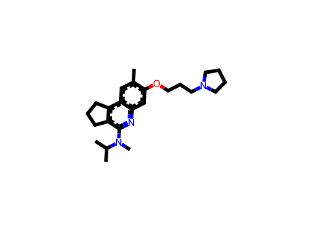 Cc1cc2c3c(c(N(C)C(C)C)nc2cc1OCCCN1CCCC1)CCC3